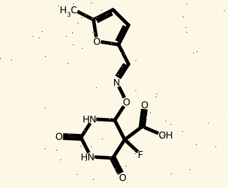 Cc1ccc(C=NOC2NC(=O)NC(=O)C2(F)C(=O)O)o1